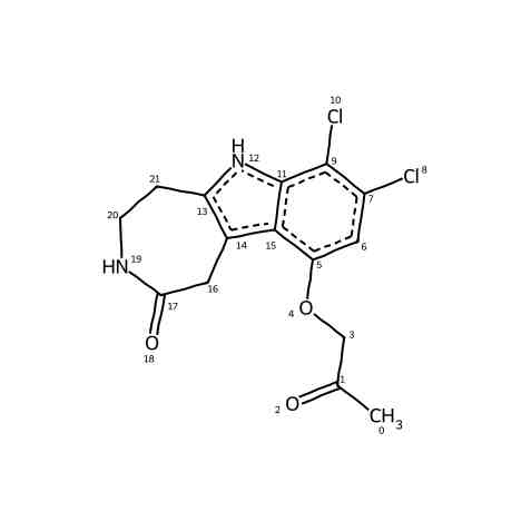 CC(=O)COc1cc(Cl)c(Cl)c2[nH]c3c(c12)CC(=O)NCC3